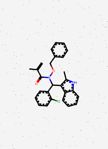 C=C(C)C(=O)N(OCc1ccccc1)C(c1ccccc1Cl)c1c(C)[nH]c2ccccc12